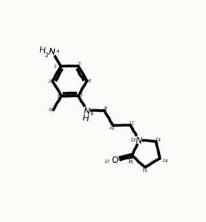 Cc1cc(N)ccc1NCCCN1CCCC1=O